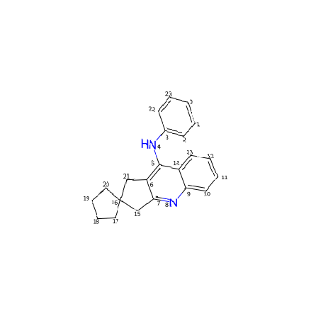 c1ccc(Nc2c3c(nc4ccccc24)CC2(CCCC2)C3)cc1